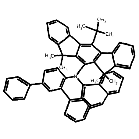 CC(C)(C)c1c2c(c(N(c3ccc(-c4ccccc4)cc3-c3ccccc3)c3cccc4ccccc34)c3c1-c1ccccc1C3(C)C)C(C)(C)c1ccccc1-2